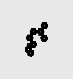 c1ccc(-c2cc(-c3ccccc3)nc(-c3cccc(-c4cccc(-c5cccc6c5oc5ccc7ccccc7c56)c4)c3)n2)cc1